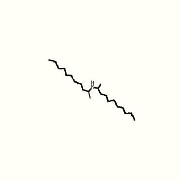 CCCCCCCCCC(C)NC(C)CCCCCCCCC